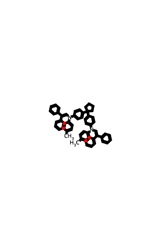 Cc1ccc(N(C=C(c2ccccc2)c2ccccc2)c2ccc(C3(c4ccc(N(C=C(c5ccccc5)c5ccccc5)c5ccc(C)cc5)cc4)CCCC3)cc2)cc1